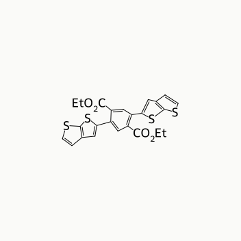 CCOC(=O)c1cc(-c2cc3ccsc3s2)c(C(=O)OCC)cc1-c1cc2ccsc2s1